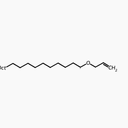 C=CCO[CH]CCCCCCCCCCCCCCCCC